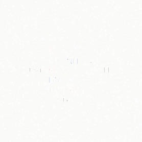 CC1(CC(NC(=O)OC(C)(C)C)C(=O)NC2(C#N)CC2)CCCCC1